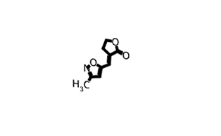 Cc1cc(/C=C2\CCOC2=O)on1